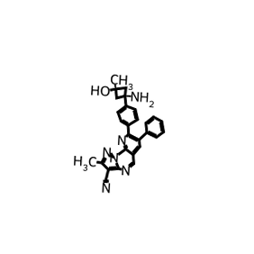 Cc1nn2c(ncc3cc(-c4ccccc4)c(-c4ccc([C@]5(N)C[C@](C)(O)C5)cc4)nc32)c1C#N